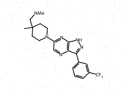 CNCC1(C)CCN(c2cnc3c(-c4cccc(C(F)(F)F)c4)n[nH]c3n2)CC1